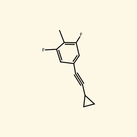 Cc1c(F)cc(C#CC2CC2)cc1F